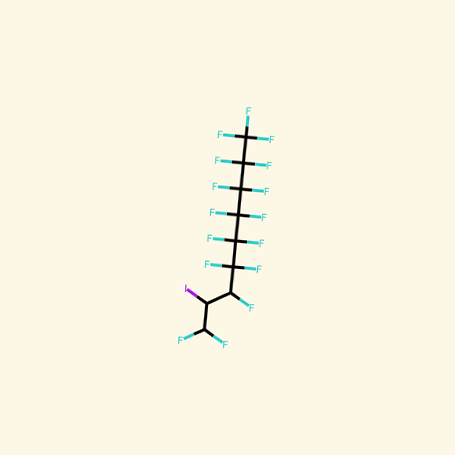 FC(F)C(I)C(F)C(F)(F)C(F)(F)C(F)(F)C(F)(F)C(F)(F)C(F)(F)F